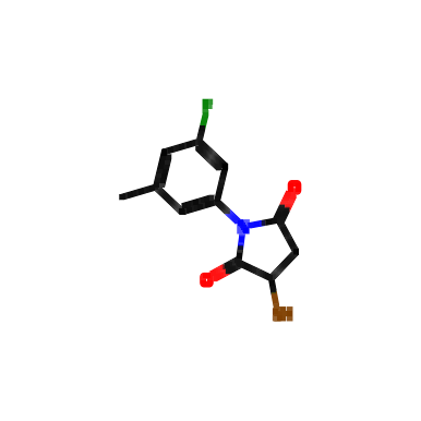 Cc1cc(F)cc(N2C(=O)CC(S)C2=O)c1